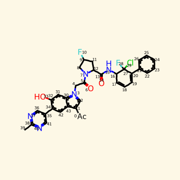 CC(=O)c1cn(CC(=O)N2CC(F)CC2C(=O)NC2C=CC=C(c3ccccc3)C2(F)Cl)c2cc(O)c(-c3cnc(C)nc3)cc12